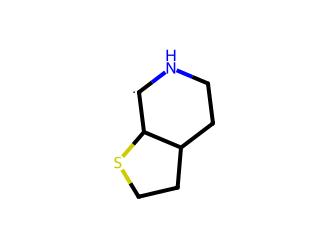 [CH]1NCCC2CCSC12